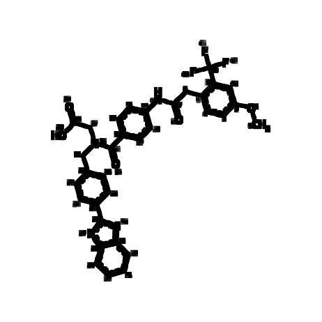 COc1ccc(CC(=O)Nc2ccc(C(=O)N(CC(=O)O)Cc3ccc(-c4nc5ccccc5s4)cc3)cc2)c(C(F)(F)F)c1